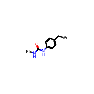 CCNC(=O)Nc1ccc(CC(C)C)cc1